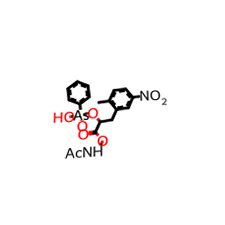 CC(=O)NOC(=O)C(Cc1cc([N+](=O)[O-])ccc1C)O[As](=O)(O)c1ccccc1